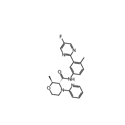 Cc1ccc(NC(=O)[C@H]2[C@H](C)OCCN2c2ccccn2)cc1-c1ncc(F)cn1